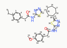 CCc1ccc(CC(=O)Nc2nnc([C@@H]3CCCC[C@@H](c4nnc(NC(=O)Cc5ccc(OC)cc5)s4)C3)s2)cc1